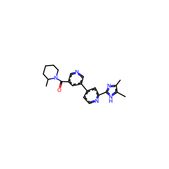 Cc1nc(-c2cc(-c3cncc(C(=O)N4CCCCC4C)c3)ccn2)[nH]c1C